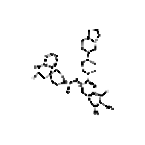 Nc1c(Cl)cc(C[C@@H](OC(=O)N2CCC3(CC2)CC(=O)Nc2ccccc23)C(=O)N2CCC(N3CCN4CCCC4C3)CC2)cc1C(F)(F)F